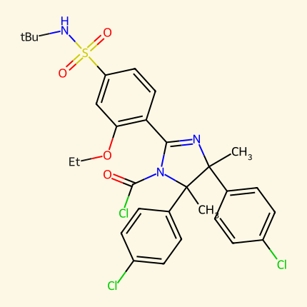 CCOc1cc(S(=O)(=O)NC(C)(C)C)ccc1C1=NC(C)(c2ccc(Cl)cc2)C(C)(c2ccc(Cl)cc2)N1C(=O)Cl